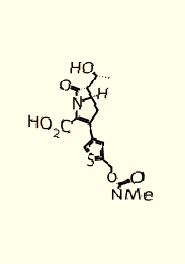 CNC(=O)OCc1cc(C2=C(C(=O)O)N3C(=O)[C@H]([C@@H](C)O)[C@H]3C2)cs1